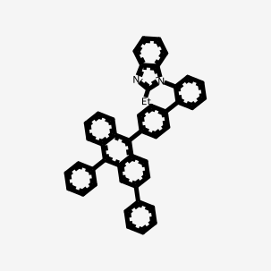 CCc1nc2ccccc2n1-c1ccccc1-c1ccc(-c2c3ccccc3c(-c3ccccc3)c3cc(-c4ccccc4)ccc23)cc1